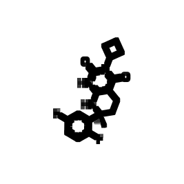 C[C@]1(c2cc(F)ccc2F)CCc2c([nH]c(=O)n(C3CCC3)c2=O)N1